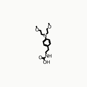 COCCN(CCOC)c1ccc(CCNC(=O)O)cc1